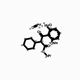 CCCOC(=O)C(C(=O)c1c(OC)cccc1OC)C1CCCCC1.O=[PH3]